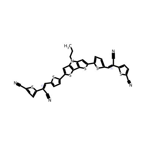 CCCn1c2cc(-c3ccc(/C=C(\C#N)c4ccc(C#N)s4)s3)sc2c2sc(-c3ccc(/C=C(\C#N)c4ccc(C#N)s4)s3)cc21